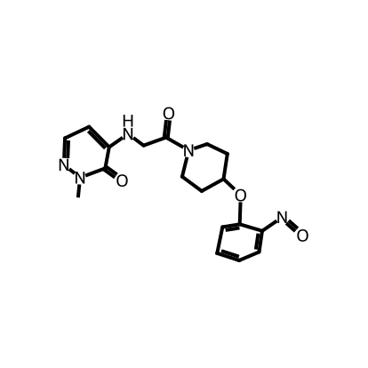 Cn1nccc(NCC(=O)N2CCC(Oc3ccccc3N=O)CC2)c1=O